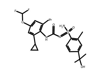 Cc1cc(C(C)(C)O)ccc1S(N)(=O)=NC(=O)Nc1c(C(C)C)cc(OC(F)F)cc1C1CC1